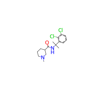 CN1CCCC(C(=O)NC(C)(C)c2cccc(Cl)c2Cl)C1